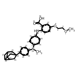 COCCOc1ccc(Nc2ccc(N(C)c3ccc(C45CC6CC(C4)C(C6)C5)cc3)cc2)c(C(=O)O)c1